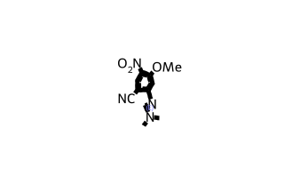 COc1cc(/N=C/N(C)C)c(C#N)cc1[N+](=O)[O-]